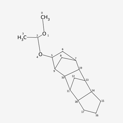 COC(C)OC1CC2CC1C1C3CC(C4CCCC43)C21